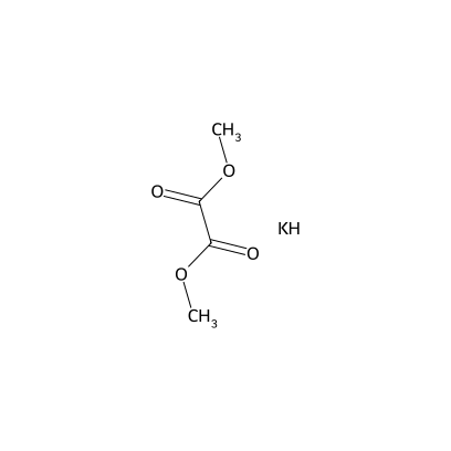 COC(=O)C(=O)OC.[KH]